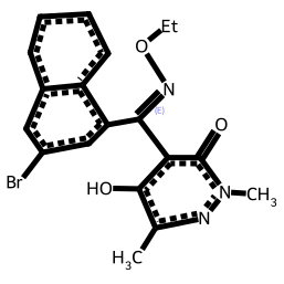 CCO/N=C(/c1c(O)c(C)nn(C)c1=O)c1cc(Br)cc2ccccc12